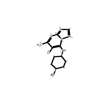 CCC(C)[C@H]1CC[C@@H](Nc2c(Cl)c(C)nc3ncnn23)CC1